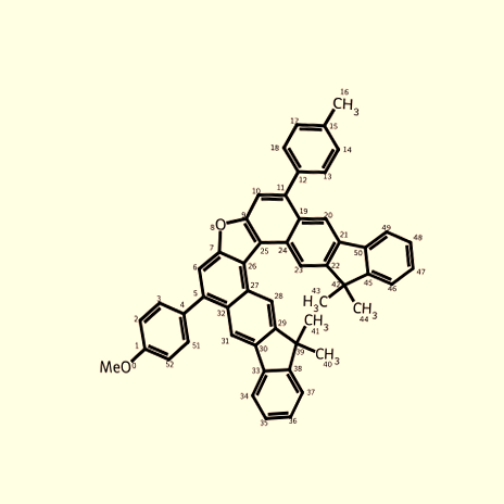 COc1ccc(-c2cc3oc4cc(-c5ccc(C)cc5)c5cc6c(cc5c4c3c3cc4c(cc23)-c2ccccc2C4(C)C)C(C)(C)c2ccccc2-6)cc1